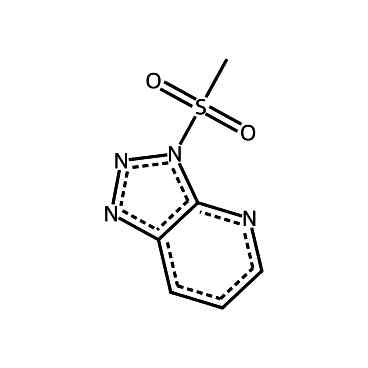 CS(=O)(=O)n1nnc2cccnc21